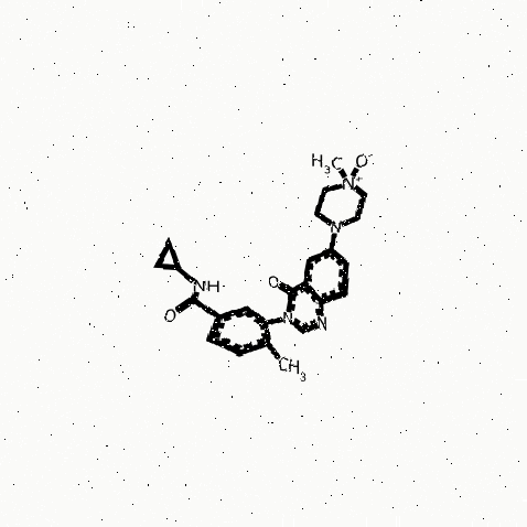 Cc1ccc(C(=O)NC2CC2)cc1-n1cnc2ccc(N3CC[N+](C)([O-])CC3)cc2c1=O